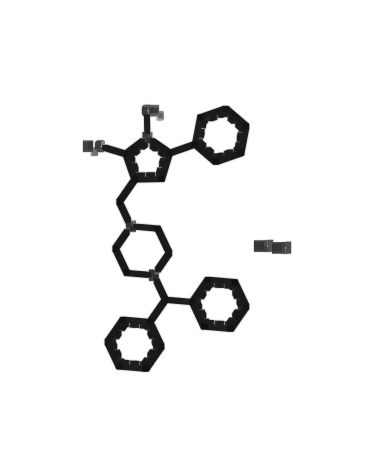 Cc1c(CN2CCN(C(c3ccccc3)c3ccccc3)CC2)cc(-c2ccccc2)n1C.Cl.Cl